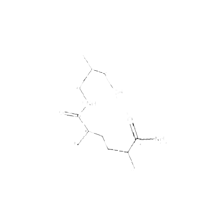 CC(CS)CNC(=O)C(C)CCC(C)C(N)=O